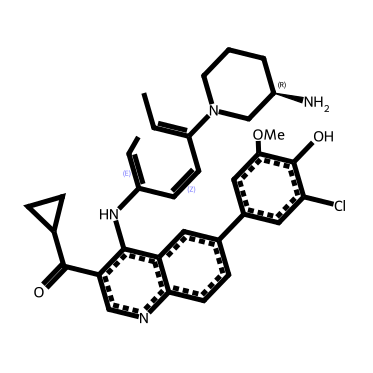 CC=C(/C=C\C(=C/C)Nc1c(C(=O)C2CC2)cnc2ccc(-c3cc(Cl)c(O)c(OC)c3)cc12)N1CCC[C@@H](N)C1